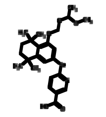 COC(C)OCOc1cc([Se]c2ccc(C(=O)O)cn2)cc2c1C(C)(C)CCC2(C)C